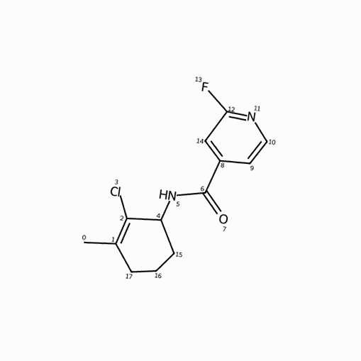 CC1=C(Cl)C(NC(=O)c2ccnc(F)c2)CCC1